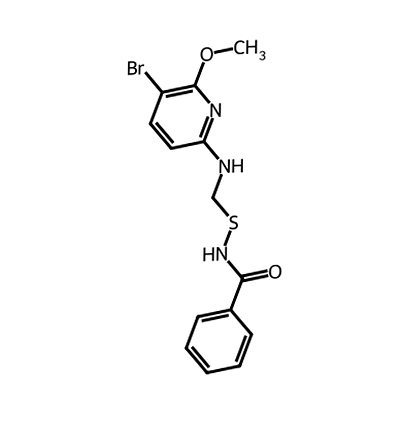 COc1nc(NCSNC(=O)c2ccccc2)ccc1Br